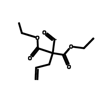 C=CCC([C]=O)(C(=O)OCC)C(=O)OCC